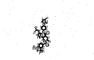 Cc1ccn(-c2ccc(-n3c(=O)c4c(n5ncc(CC(C)C)c35)CN(C(=O)c3ccc(Br)c(C(F)(F)F)c3)C(C)C4)cc2)n1